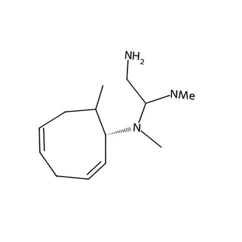 CNC(CN)N(C)[C@@H]1/C=C\C/C=C\CC1C